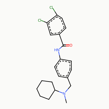 CN(Cc1ccc(NC(=O)c2ccc(Cl)c(Cl)c2)cc1)C1CCCCC1